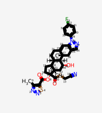 Cc1nnsc1C(=O)O[C@]1(C(=O)SCC#N)CC[C@H]2[C@@H]3CCC4=Cc5c(cnn5-c5ccc(F)cc5)C[C@]4(C)[C@H]3[C@@H](O)C[C@@]21C